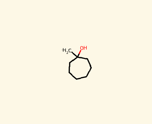 [CH2]C1(O)CCCCCC1